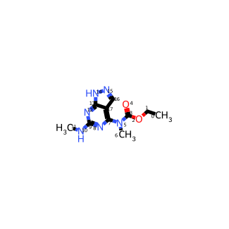 CCOC(=O)N(C)c1nc(NC)nc2[nH]ncc12